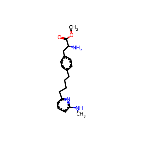 CNc1cccc(CCCCc2ccc(CC(N)C(=O)OC)cc2)n1